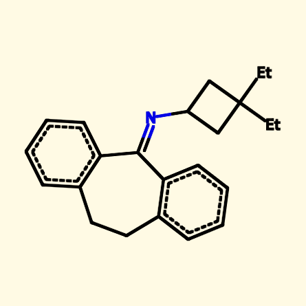 CCC1(CC)CC(N=C2c3ccccc3CCc3ccccc32)C1